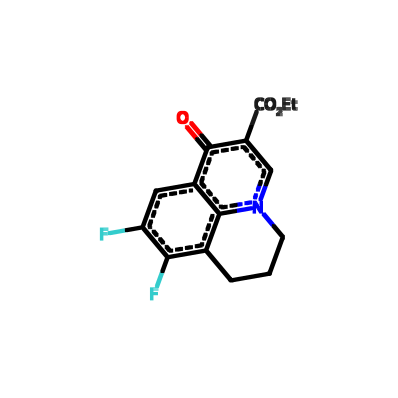 CCOC(=O)c1cn2c3c(c(F)c(F)cc3c1=O)CCC2